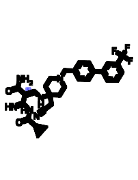 N#CCC1(N/C=C(\C(=N)NC(=O)C2CC2)C(N)=O)CCN(Cc2ccc(-c3cccc(C(F)(F)F)c3)cc2)CC1